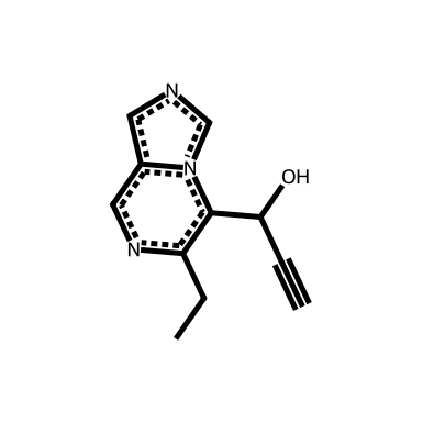 C#CC(O)c1c(CC)ncc2cncn12